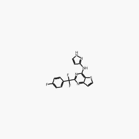 Fc1ccc(C(F)(F)c2nc(Nc3cc[nH]n3)c3sccc3n2)cc1